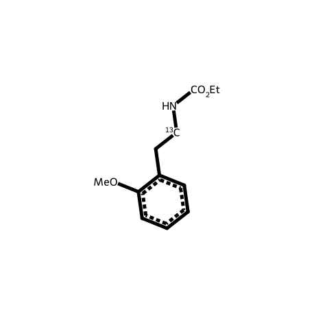 CCOC(=O)N[13CH2]Cc1ccccc1OC